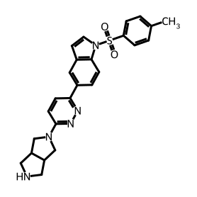 Cc1ccc(S(=O)(=O)n2ccc3cc(-c4ccc(N5CC6CNCC6C5)nn4)ccc32)cc1